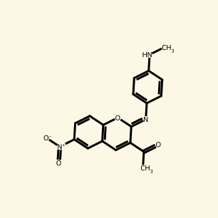 CNc1ccc(/N=c2\oc3ccc([N+](=O)[O-])cc3cc2C(C)=O)cc1